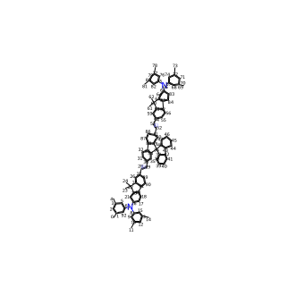 Cc1cc(C)cc(N(c2cc(C)cc(C)c2)c2ccc3c(c2)C(C)(C)c2cc(/C=C/c4ccc5c(c4)C4(c6ccccc6-c6ccccc64)c4cc(/C=C/c6ccc7c(c6)C(C)(C)c6cc(N(c8cc(C)cc(C)c8)c8cc(C)cc(C)c8)ccc6-7)ccc4-5)ccc2-3)c1